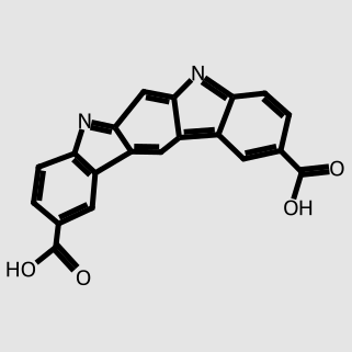 O=C(O)c1ccc2c(c1)-c1cc3c(cc1=N2)N=c1ccc(C(=O)O)cc1=3